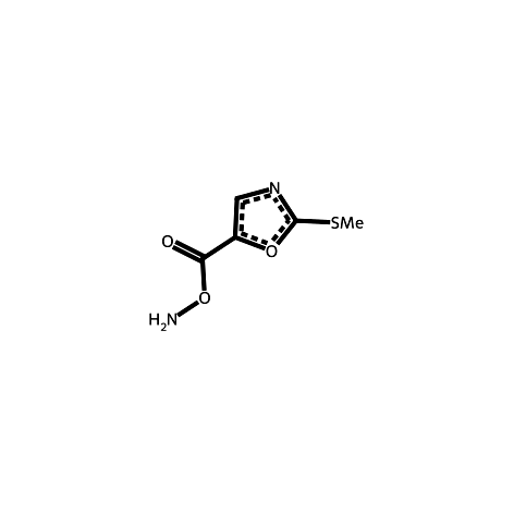 CSc1ncc(C(=O)ON)o1